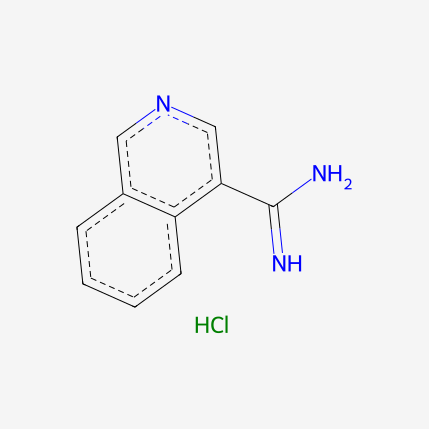 Cl.N=C(N)c1cncc2ccccc12